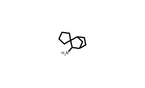 NC1C2CCC(C2)C12CCCC2